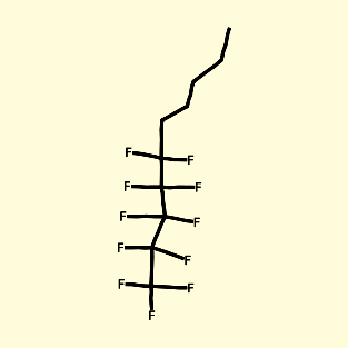 CCCCCC(F)(F)C(F)(F)C(F)(F)C(F)(F)C(F)(F)F